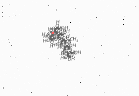 CC(=O)N[C@H]1[C@H](O[C@H]2[C@@H](O)[C@@H](CO)O[C@@H](O[C@H]3[C@H](O)[C@@H](O)[C@H](O)O[C@@H]3CO)[C@@H]2O)O[C@H](CO)[C@@H](O[C@@H]2O[C@H](CO)[C@H](O)[C@H](O[C@@H]3O[C@H](CO)[C@H](O)[C@H](O)[C@H]3NC(C)=O)[C@H]2O[C@@H]2O[C@@H](C)[C@@H](O)[C@@H](O)[C@@H]2O)[C@@H]1O